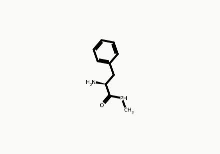 CPC(=O)[C@@H](N)Cc1ccccc1